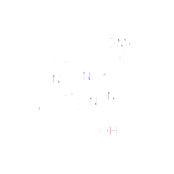 COC(=O)CC[C@@H]1N=C(c2ccccn2)c2cc(Cl)ccc2-n2c(CO)cnc21